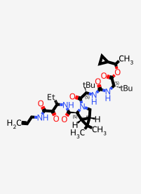 C=CCNC(=O)C(=O)C(CC)NC(=O)[C@@H]1[C@@H]2[C@H](CN1C(=O)[C@@H](NC(=O)N[C@H](C(=O)OC(C)C1CC1)C(C)(C)C)C(C)(C)C)C2(C)C